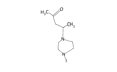 CC(=O)CC(C)N1CCN(I)CC1